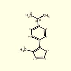 Cc1ncsc1-c1ccc([C@H](C)N)cn1